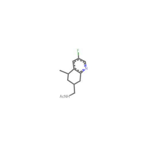 CC(=O)NCC1Cc2ncc(F)cc2C(C)C1